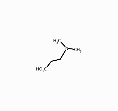 CN(C)CC[13C](=O)O